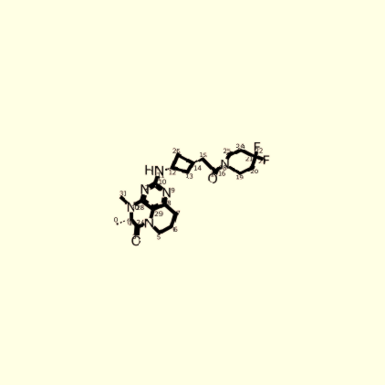 C[C@H]1C(=O)N2CCCc3nc(N[C@H]4C[C@H](CC(=O)N5CCC(F)(F)CC5)C4)nc(c32)N1C